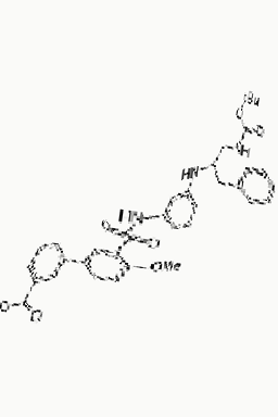 COC(=O)c1cccc(-c2ccc(OC)c(S(=O)(=O)Nc3cccc(NC(CNC(=O)OC(C)(C)C)Cc4ccccc4)c3)c2)c1